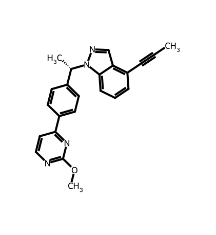 CC#Cc1cccc2c1cnn2[C@@H](C)c1ccc(-c2ccnc(OC)n2)cc1